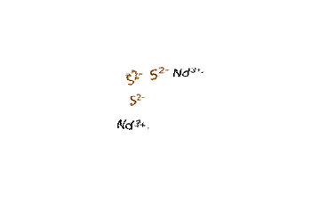 [Nd+3].[Nd+3].[S-2].[S-2].[S-2]